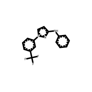 FC(F)(F)c1cccc(-n2ccc(Nc3ccccc3)n2)c1